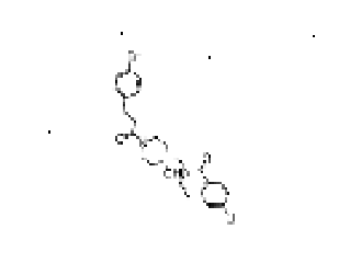 O=C(CCc1ccc(Br)cc1)N1CCC(O)(Cn2cnc3cc(Cl)ccc3c2=O)CC1